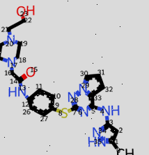 Cc1cc(Nc2nc(Sc3ccc(NC(=O)CN4CCN(CCO)CC4)cc3)nn3cccc23)n[nH]1